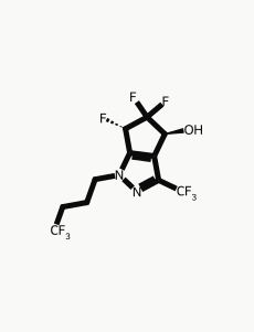 O[C@H]1c2c(C(F)(F)F)nn(CCCC(F)(F)F)c2[C@H](F)C1(F)F